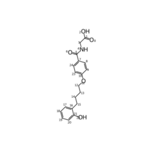 O=C(O)CNC(=O)c1ccc(OCCCCc2ccccc2O)cc1